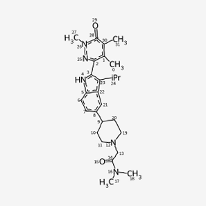 Cc1c(-c2[nH]c3ccc(C4CCN(CC(=O)N(C)C)CC4)cc3c2C(C)C)nn(C)c(=O)c1C